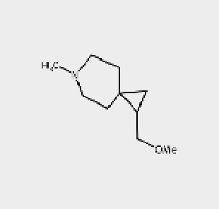 COCC1CC12CCN(C)CC2